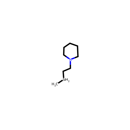 C[SiH2]CCN1CCCCC1